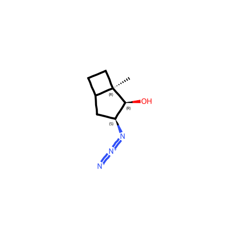 C[C@@]12CCC1C[C@H](N=[N+]=[N-])[C@@H]2O